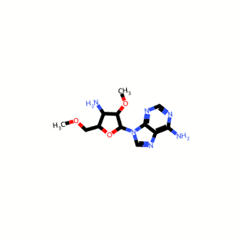 COCC1OC(n2cnc3c(N)ncnc32)C(OC)C1N